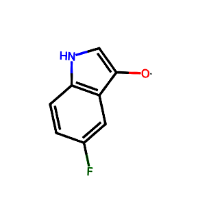 [O]c1c[nH]c2ccc(F)cc12